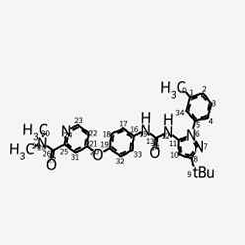 Cc1cccc(-n2nc(C(C)(C)C)cc2NC(=O)Nc2ccc(Oc3ccnc(C(=O)N(C)C)c3)cc2)c1